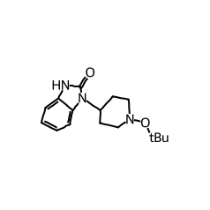 CC(C)(C)ON1CCC(n2c(=O)[nH]c3ccccc32)CC1